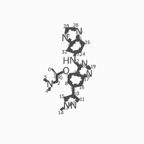 C[C@H](CN(C)C)Oc1cc(-c2cnn(C)c2)cc2ncnc(Nc3ccc4nccnc4c3)c12